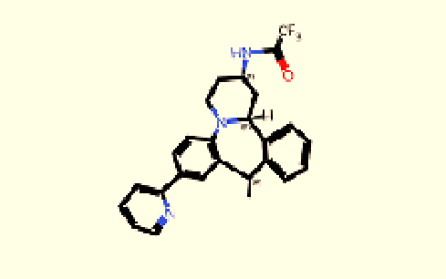 C[C@@H]1c2ccccc2[C@H]2C[C@H](NC(=O)C(F)(F)F)CCN2c2ccc(-c3ccccn3)cc21